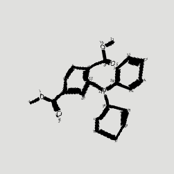 COC(=O)c1ccc(C(=O)OC)c(P(c2ccccc2)c2ccccc2)c1